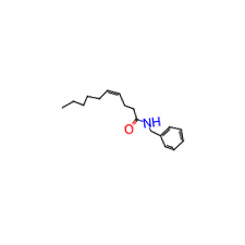 CCCCC/C=C\CCC(=O)NCc1ccccc1